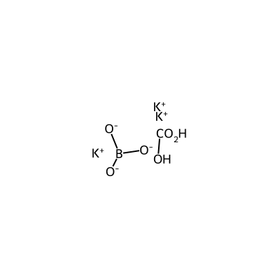 O=C(O)O.[K+].[K+].[K+].[O-]B([O-])[O-]